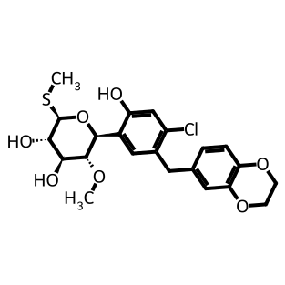 CO[C@@H]1[C@@H](O)[C@H](O)[C@@H](SC)O[C@H]1c1cc(Cc2ccc3c(c2)OCCO3)c(Cl)cc1O